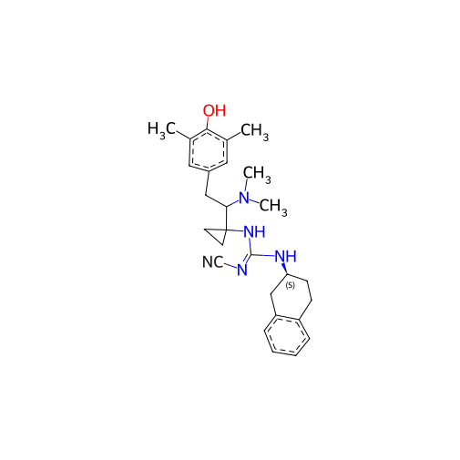 Cc1cc(CC(N(C)C)C2(NC(=NC#N)N[C@H]3CCc4ccccc4C3)CC2)cc(C)c1O